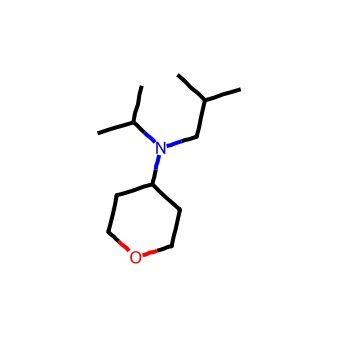 CC(C)CN(C(C)C)C1CCOCC1